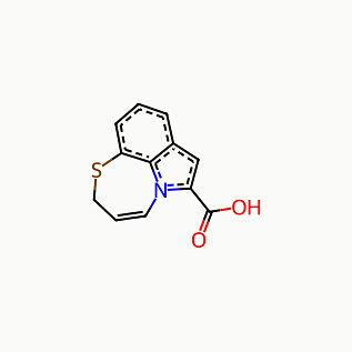 O=C(O)c1cc2cccc3c2n1C=CCS3